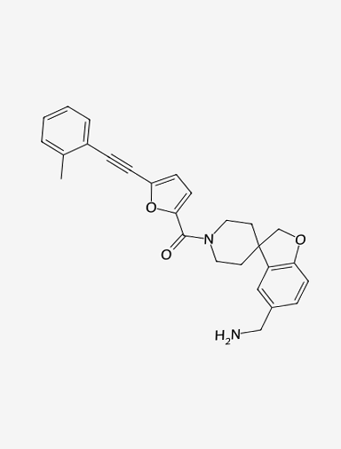 Cc1ccccc1C#Cc1ccc(C(=O)N2CCC3(CC2)COc2ccc(CN)cc23)o1